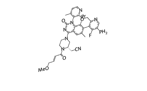 COC/C=C/C(=O)N1CCN(c2nc(=O)n(-c3c(C)ccnc3C(C)C)c3c4c(c(C)cc23)-c2c(ncc(P)c2F)CO4)C[C@@H]1CC#N